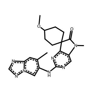 COC1CCC2(CC1)C(=O)N(C)c1cnc(Nc3cn4ncnc4cc3C)nc12